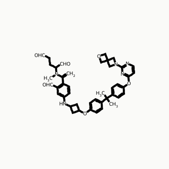 C=C(c1ccc(NC2CC(Oc3ccc(C(C)(C)c4ccc(Oc5ccnc(N6CC7(COC7)C6)n5)cc4)cc3)C2)cc1C=O)N(C)C(C=O)CCC=O